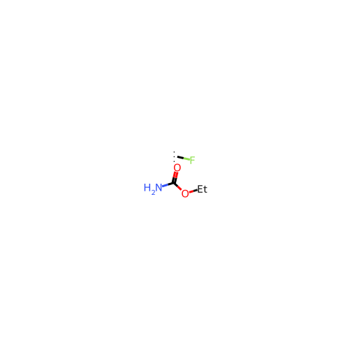 CCOC(N)=O.[C]F